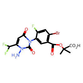 CC(C)(OC(=O)c1cc(-n2c(=O)cc(C(F)F)n(N)c2=O)c(F)cc1Br)C(=O)O